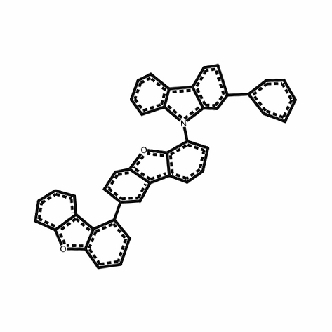 c1ccc(-c2ccc3c4ccccc4n(-c4cccc5c4oc4ccc(-c6cccc7oc8ccccc8c67)cc45)c3c2)cc1